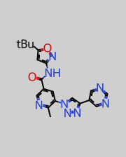 Cc1ncc(C(=O)Nc2cc(C(C)(C)C)on2)cc1-n1cc(-c2cncnc2)nn1